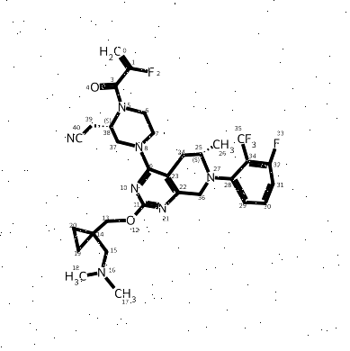 C=C(F)C(=O)N1CCN(c2nc(OCC3(CN(C)C)CC3)nc3c2C[C@H](C)N(c2cccc(F)c2C(F)(F)F)C3)C[C@@H]1CC#N